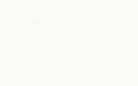 C[C@H](CNC(=O)OC(C)(C)C)Nc1ccc2c(c1)C(=O)N(C1CCC(=O)NC1=O)C2=O